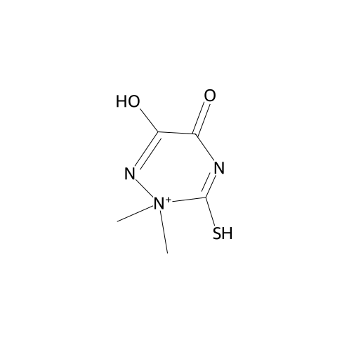 C[N+]1(C)N=C(O)C(=O)N=C1S